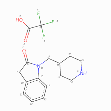 O=C(O)C(F)(F)F.O=C1Cc2ccccc2N1CC1CCNCC1